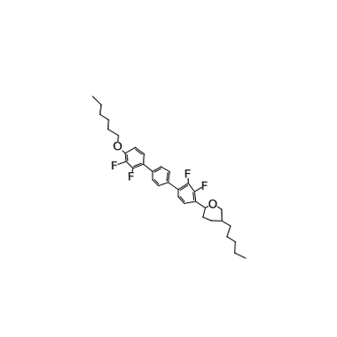 CCCCCCOc1ccc(-c2ccc(-c3ccc(C4CCC(CCCCC)CO4)c(F)c3F)cc2)c(F)c1F